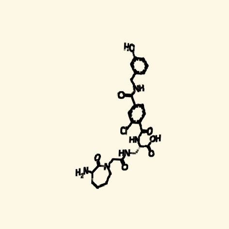 NC1CCCCN(CC(=O)NC[C@H](NC(=O)c2ccc(C(=O)NCc3cccc(O)c3)cc2Cl)C(=O)O)C1=O